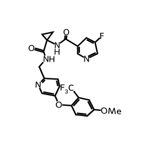 COc1ccc(Oc2ccc(CNC(=O)C3(NC(=O)c4cncc(F)c4)CC3)nc2)c(C(F)(F)F)c1